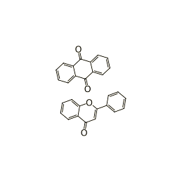 O=C1c2ccccc2C(=O)c2ccccc21.O=c1cc(-c2ccccc2)oc2ccccc12